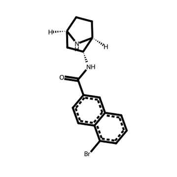 O=C(N[C@@H]1C[C@H]2CC[C@@H]1N2)c1ccc2c(Br)cccc2c1